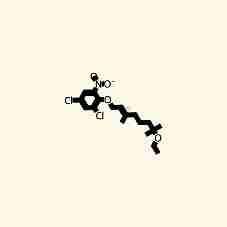 CCOC(C)(C)CCC/C(C)=C/COc1c(Cl)cc(Cl)cc1[N+](=O)[O-]